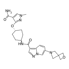 Cn1cc(C(N)=O)c(O[C@H]2CC[C@H](NC(=O)c3cnn4cc(N5CC6(COC6)C5)ccc34)CC2)n1